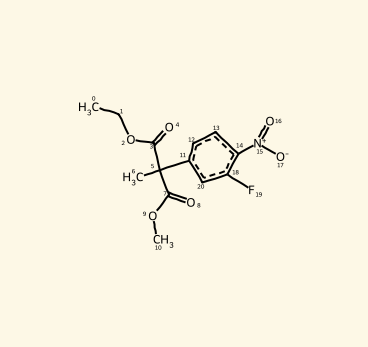 CCOC(=O)C(C)(C(=O)OC)c1ccc([N+](=O)[O-])c(F)c1